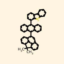 CC1(C)c2cccc3cc(-c4c5ccccc5c(-c5cccc6c5sc5ccccc56)c5ccccc45)c4cccc1c4c23